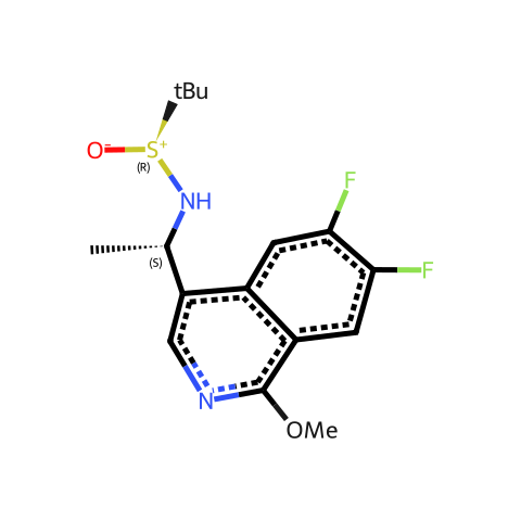 COc1ncc([C@H](C)N[S@@+]([O-])C(C)(C)C)c2cc(F)c(F)cc12